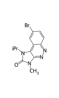 CC(C)n1c(=O)n(C)c2nnc3ccc(Br)cc3c21